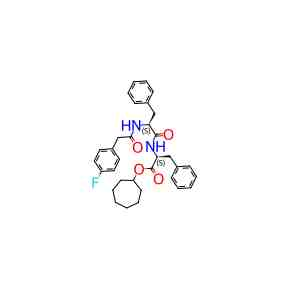 O=C(Cc1ccc(F)cc1)N[C@@H](Cc1ccccc1)C(=O)N[C@@H](Cc1ccccc1)C(=O)OC1CCCCCC1